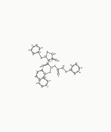 O=C(CC(Cc1cccc2ccccc12)C(=O)N1C(=O)OCC1Cc1ccccc1)OCc1ccccc1